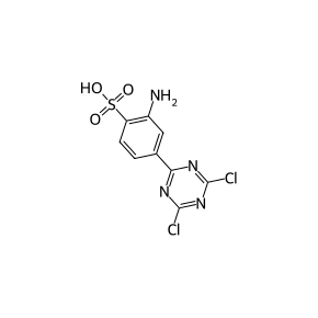 Nc1cc(-c2nc(Cl)nc(Cl)n2)ccc1S(=O)(=O)O